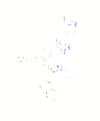 COc1ccc(-c2nc(-c3ccnc(Cl)c3)nn2CCN(C(=O)Cc2cccc3ccccc23)C2CCCC2)cc1Cl